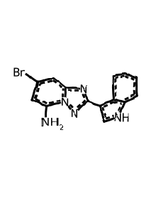 Nc1cc(Br)cc2nc(-c3c[nH]c4ccccc34)nn12